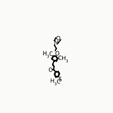 CSc1ccc(C(=O)/C=C/c2cc(C)c(OCCCN3CCOCC3)c(C)c2)cc1